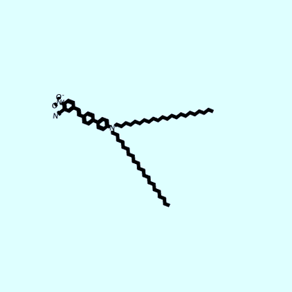 CCCCCCCCCCCCCCCCCCCCCCN(CCCCCCCCCCCCCCCCCCCCCC)c1ccc(-c2ccc(C=Cc3ccc([N+](=O)[O-])c(C#N)c3)cc2)cc1